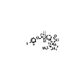 CC(C)(C)OC(=O)N1CC(O)(NC(=O)COc2ccc(Cl)c(F)c2)CC[C@@H]1C(=O)O